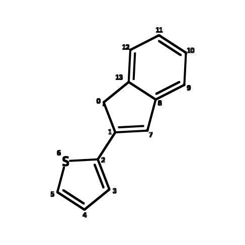 [CH]1C(c2cccs2)=Cc2ccccc21